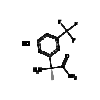 C[C@@](N)(C(N)=O)c1cccc(C(F)(F)F)c1.Cl